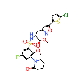 COC(=O)C(Cc1cc(-c2ccc(Cl)s2)on1)NS(=O)(=O)c1cc(F)cc(N2CCCCC2=O)c1OC